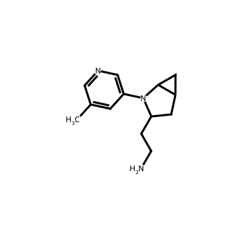 Cc1cncc(N2C(CCN)CC3CC32)c1